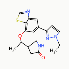 CCn1ccc(-c2cc(OC(C)C3CNC(=O)C3)c3scnc3c2)n1